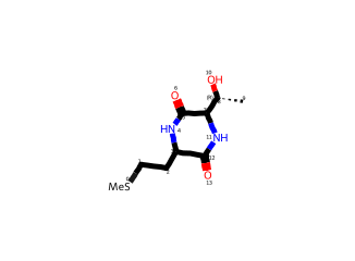 CSCCC1NC(=O)C([C@@H](C)O)NC1=O